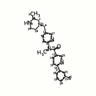 C[C@H]1CN(Cc2ccc(N(C)C(=O)c3ccc(-c4cccc(F)c4)nc3)nc2)CCN1